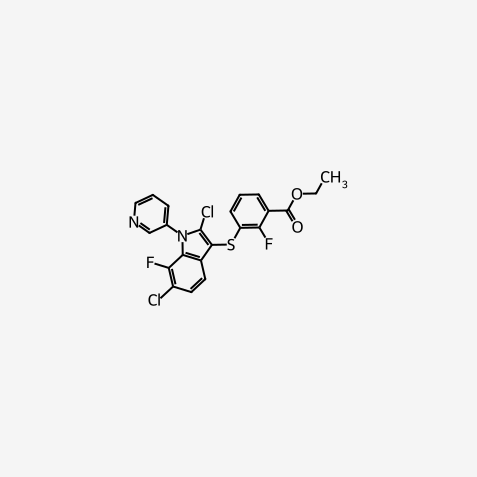 CCOC(=O)c1cccc(Sc2c(Cl)n(-c3cccnc3)c3c(F)c(Cl)ccc23)c1F